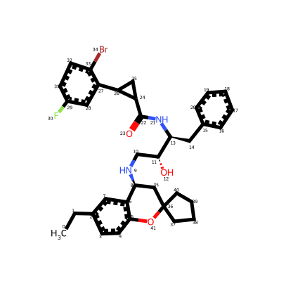 CCc1ccc2c(c1)[C@@H](NC[C@@H](O)[C@H](Cc1ccccc1)NC(=O)C1CC1c1cc(F)ccc1Br)CC1(CCCC1)O2